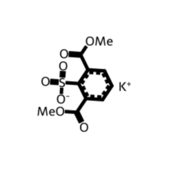 COC(=O)c1cccc(C(=O)OC)c1S(=O)(=O)[O-].[K+]